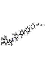 CCCCCC1CCC(c2ccc(-c3ccc(-c4cc(F)c(/C=C/C(F)(F)Oc5cc(F)c(F)c(F)c5)c(F)c4)c(F)c3)c(F)c2)CC1